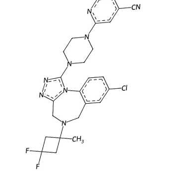 CC1(N2Cc3cc(Cl)ccc3-n3c(nnc3N3CCN(c4cc(C#N)ccn4)CC3)C2)CC(F)(F)C1